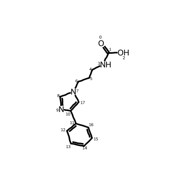 O=C(O)NCCCn1cnc(-c2ccccc2)c1